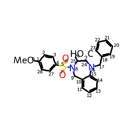 COc1ccc(S(=O)(=O)N2Cc3ccccc3N(Cc3ccccc3)CC2C(=O)O)cc1